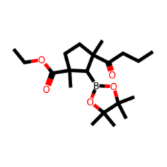 CCCC(=O)C1(C)CCC(C)(C(=O)OCC)C1B1OC(C)(C)C(C)(C)O1